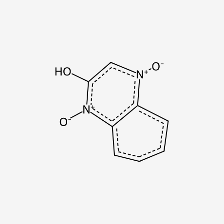 [O-][n+]1cc(O)[n+]([O-])c2ccccc21